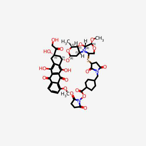 COc1cccc2c1C(=O)c1c(O)c3c(c(O)c1C2=O)C[C@@](O)(C(=O)CO)C[C@@H]3O[C@H]1C[C@H]2[C@H](O[C@@H]3[C@@H](OC)OCC(SC4CC(=O)N(CC5CCC(C(=O)ON6C(=O)CCC6=O)CC5)C4=O)N32)[C@H](C)O1